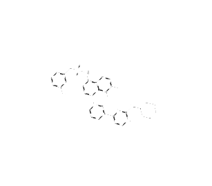 Cc1ccc2c(NS(=O)(=O)Cc3cccc(Cl)c3)cccc2c1Oc1ncccc1-c1ccnc(NC2CCCNC2)n1